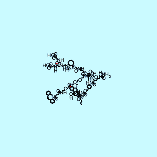 CCCC1O[C@@H]2CC3[C@@H]4C[C@H](F)C5=CC(=O)C=C[C@]5(C)[C@@]4(F)[C@@H](O)C[C@]3(C)[C@]2(C(=O)CNC(=O)OCc2ccc(NC(=O)[C@H](CCCNC(N)=O)NC(=O)[C@@H](NC(=O)[C@@H](CCCCNC(=O)COC3CCCCC/C(NCCN(CC(=O)NCCS(=O)(=O)O)CC(=O)NCCS(=O)(=O)O)=C\3N=N)NC(=O)CCOCCOCCOCCOCCNC(=O)CCC(=O)N3Cc4ccccc4C#Cc4ccccc43)C(C)C)cc2)O1